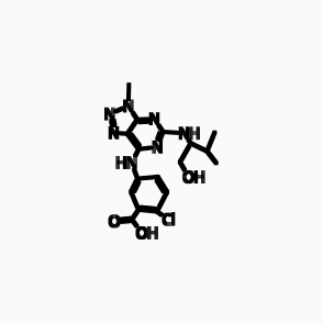 CC(C)C(CO)Nc1nc(Nc2ccc(Cl)c(C(=O)O)c2)c2nnn(C)c2n1